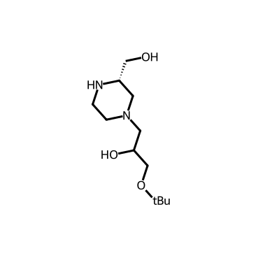 CC(C)(C)OCC(O)CN1CCN[C@H](CO)C1